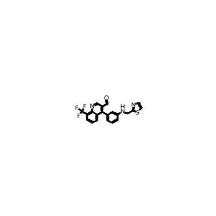 O=Cc1cnc2c(C(F)(F)F)cccc2c1-c1cccc(NCc2nccs2)c1